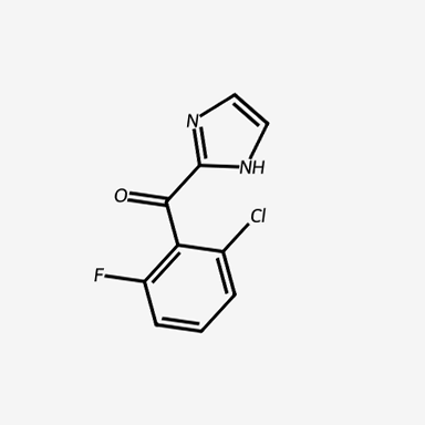 O=C(c1ncc[nH]1)c1c(F)cccc1Cl